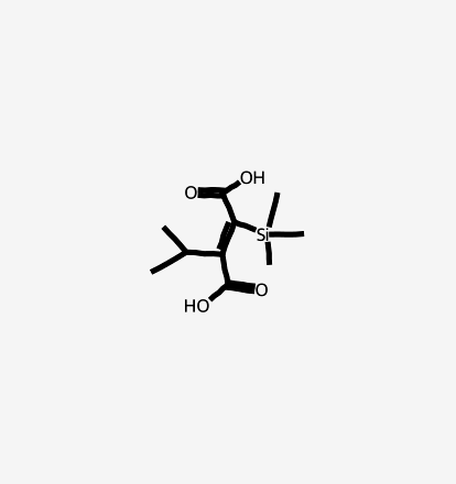 CC(C)/C(C(=O)O)=C(\C(=O)O)[Si](C)(C)C